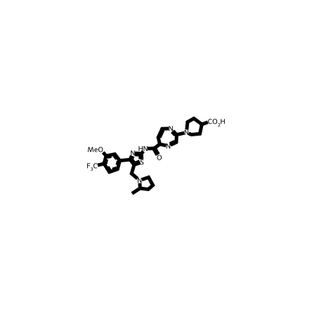 COc1cc(-c2nc(NC(=O)C3C=CN=C(N4CCC(C(=O)O)CC4)C=N3)sc2CN2CCCC2C)ccc1C(F)(F)F